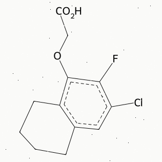 O=C(O)COc1c(F)c(Cl)cc2c1CCCC2